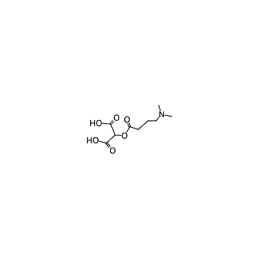 CN(C)CCCC(=O)OC(C(=O)O)C(=O)O